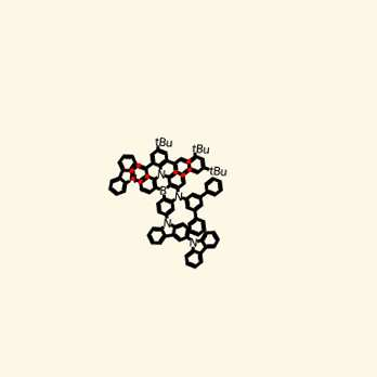 CC(C)(C)c1cc(-c2cc3c4c(c2)N(c2c(-c5ccccc5)cc(C(C)(C)C)cc2-c2ccccc2)c2cc(-n5c6ccccc6c6ccccc65)ccc2B4c2ccc(-n4c5ccccc5c5cc(-n6c7ccccc7c7ccccc76)ccc54)cc2N3c2cc(-c3ccccc3)cc(-c3ccccc3)c2)cc(C(C)(C)C)c1